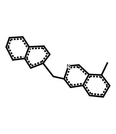 Cc1cccc2cc(Cc3ccc4ccccc4c3)ncc12